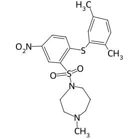 Cc1ccc(C)c(Sc2ccc([N+](=O)[O-])cc2S(=O)(=O)N2CCCN(C)CC2)c1